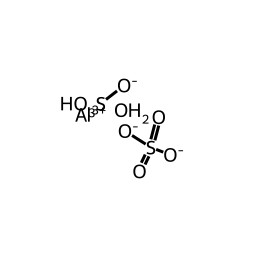 O.O=S(=O)([O-])O.O=S(=O)([O-])[O-].[Al+3]